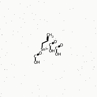 C=C[CH2][Sn+3].O=[C-]O.O=[C-]O.O=[C-]O